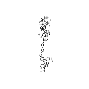 C[C@H]1CN(CCOCCOCCOc2ccc3c(c2)n(C)c(=O)n3C2CCC(=O)NC2=O)CCCN1c1nccc(-c2noc([C@@]3(C)CCCc4sc(N)c(C#N)c43)n2)n1